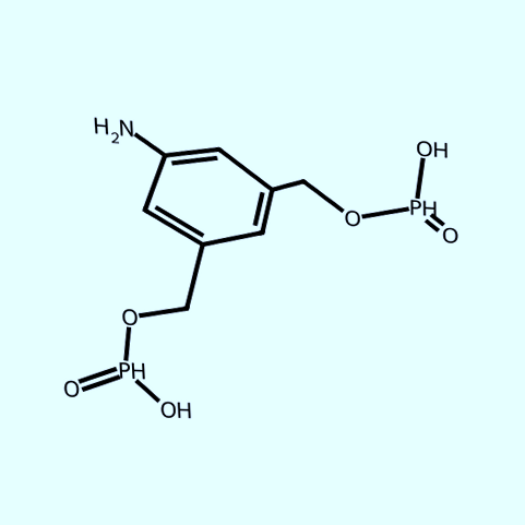 Nc1cc(CO[PH](=O)O)cc(CO[PH](=O)O)c1